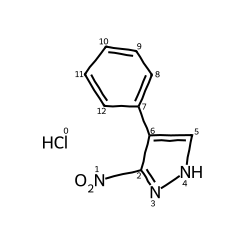 Cl.O=[N+]([O-])c1n[nH]cc1-c1ccccc1